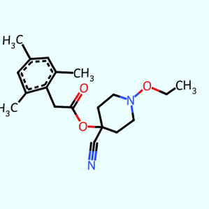 CCON1CCC(C#N)(OC(=O)Cc2c(C)cc(C)cc2C)CC1